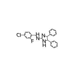 Fc1cc(Cl)ccc1CNC1=NC(c2ccccc2)C(c2ccccc2)N1